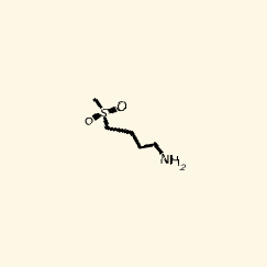 CS(=O)(=O)CCCCN